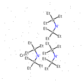 CC[Si](CC)(CC)[N-][Si](CC)(CC)CC.CC[Si](CC)(CC)[N-][Si](CC)(CC)CC.CC[Si](CC)(CC)[N-][Si](CC)(CC)CC.[Cr+3]